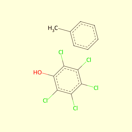 Cc1ccccc1.Oc1c(Cl)c(Cl)c(Cl)c(Cl)c1Cl